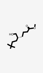 COC(=O)CCC[C@@H](CO)CCC(C)(C)C